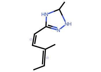 C/C=C(C)\C=C/C1=NNC(C)N1